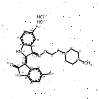 CN1CCN(CCO/N=C2/C(=C3/C(=O)Nc4ccc(F)cc43)Nc3ccc(F)cc32)CC1.Cl.Cl